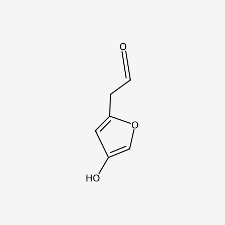 O=CCc1cc(O)co1